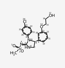 CS(=O)(=O)/N=C1\NC[C@H](c2cccc(OCCO)c2)N1c1ccc(Cl)cc1